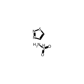 N[SH](=O)=O.c1csnn1